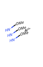 CO[NH-].CO[NH-].CO[NH-].[Al+3]